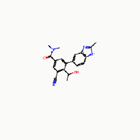 Cc1nc2cc(-c3cc(C(=O)N(C)C)cc(C#N)c3C(C)O)ccc2[nH]1